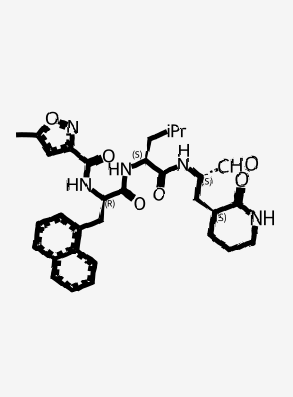 Cc1cc(C(=O)N[C@H](Cc2cccc3ccccc23)C(=O)N[C@@H](CC(C)C)C(=O)N[C@H](C=O)C[C@@H]2CCCNC2=O)no1